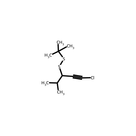 CC(C)C(C#CCl)SSC(C)(C)C